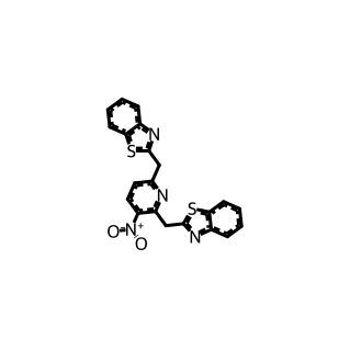 O=[N+]([O-])c1ccc(Cc2nc3ccccc3s2)nc1Cc1nc2ccccc2s1